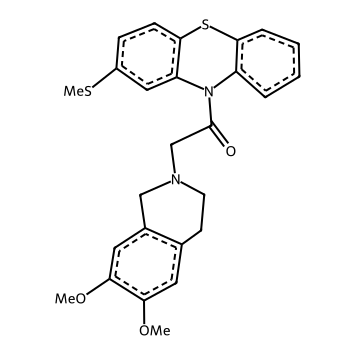 COc1cc2c(cc1OC)CN(CC(=O)N1c3ccccc3Sc3ccc(SC)cc31)CC2